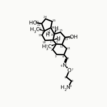 C[C@]12CCC(/C=N/OCCN)CC1C(O)C[C@@H]1[C@H]2CC[C@]2(C)C(O)CC[C@@H]12